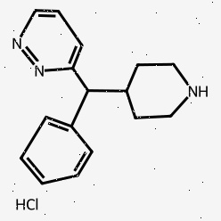 Cl.c1ccc(C(c2cccnn2)C2CCNCC2)cc1